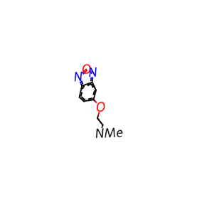 CNCCOc1ccc2nonc2c1